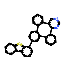 c1ccc2c(c1)-c1ccc(-c3cccc4c3sc3ccccc34)cc1-c1ccccc1-c1ncncc1-2